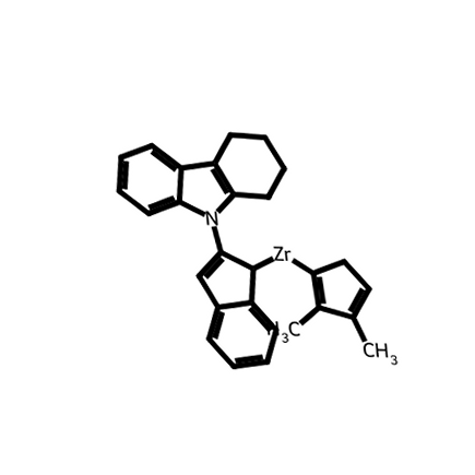 CC1=CC[C]([Zr][CH]2C(n3c4c(c5ccccc53)CCCC4)=Cc3ccccc32)=C1C